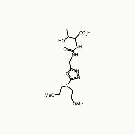 COCCN(CCOC)c1nnc(CNC(=O)NC(C(=O)O)C(C)O)o1